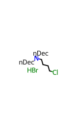 Br.CCCCCCCCCCN(CCCCCl)CCCCCCCCCC